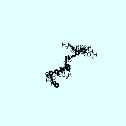 Cc1c(-c2ccc(-c3ccc4c(c3)N(C(=O)Nc3nc5ccccc5s3)CCO4)nc2C(=O)O)cnn1CC12CC3(C)CC(C)(C1)CC(OCCN(C)C(=O)OCC=Cc1ccc(O[C@@H]4O[C@H](C(=O)O)[C@@H](O)[C@H](O)[C@H]4O)c(NC(=O)CCN)c1)(C3)C2